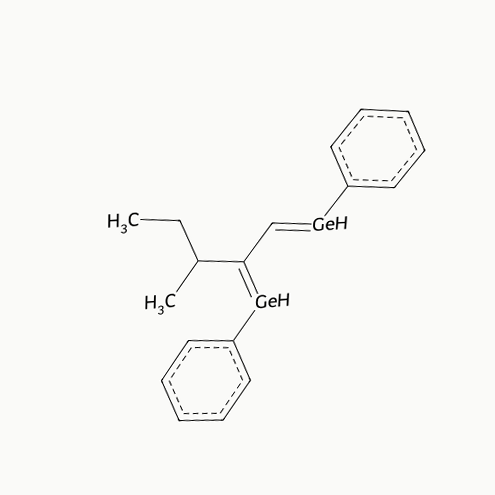 CCC(C)[C]([CH]=[GeH][c]1ccccc1)=[GeH][c]1ccccc1